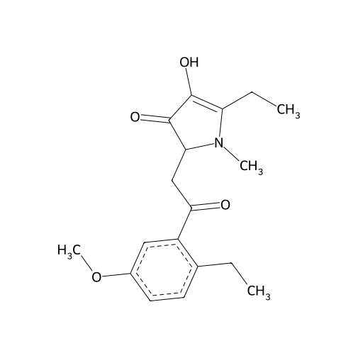 CCC1=C(O)C(=O)C(CC(=O)c2cc(OC)ccc2CC)N1C